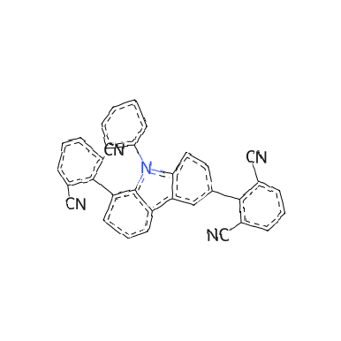 N#Cc1cccc(C#N)c1-c1ccc2c(c1)c1cccc(-c3c(C#N)cccc3C#N)c1n2-c1ccccc1